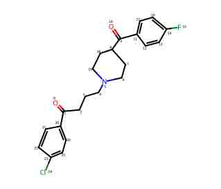 O=C(CCCN1CCC(C(=O)c2ccc(F)cc2)CC1)c1ccc(Cl)cc1